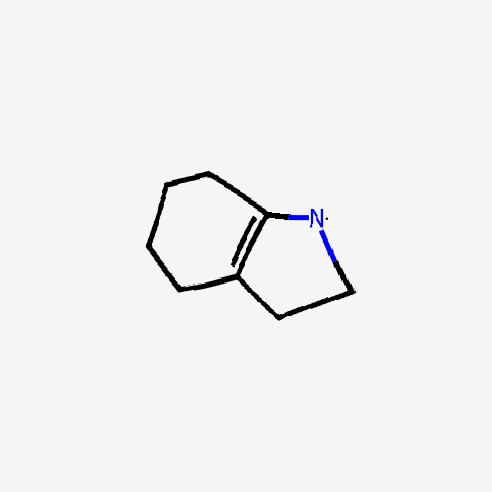 C1CCC2=C(C1)CC[N]2